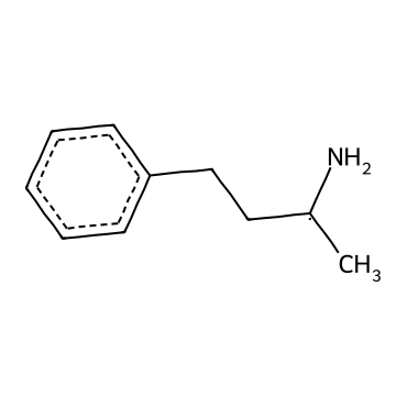 C[C](N)CCc1ccccc1